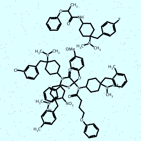 CC(Oc1ccccc1)C(=O)NC1CCC(Cc2ccc(F)cc2)(N(C)C)CC1.COc1ccc(OC(SCc2ccccc2)(C(=O)N(C2CCC(Cc3cccc(Cl)c3)(N(C)C)CC2)C2CCC(Cc3ccc(C)cc3)(N(C)C)C([N+](=O)[O-])C2)N(C(=O)CCCOc2ccccc2)C2CCC(Cc3ccccc3C)(N(C)C)CC2)cc1